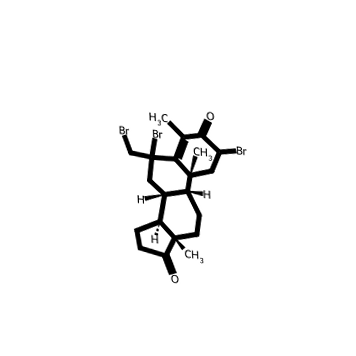 CC1=C2C(Br)(CBr)C[C@@H]3[C@@H](CC[C@]4(C)C(=O)CC[C@@H]34)[C@@]2(C)CC(Br)C1=O